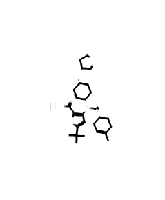 CC1=CC[C@H](C(=O)N(c2cc(C(C)(C)C)sc2C(=O)O)[C@H]2CC[C@H](O[C@H]3CCOC3)CC2)[C@H](C)C1